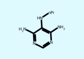 CCCNc1c(N)ncnc1N